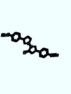 COc1ccc(C2CCN(N3CC(c4ccc(OC)cc4)CC3=O)C2)cc1